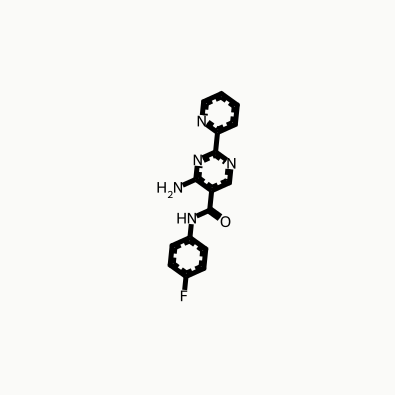 Nc1nc(-c2ccccn2)ncc1C(=O)Nc1ccc(F)cc1